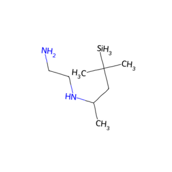 CC(CC(C)(C)[SiH3])NCCN